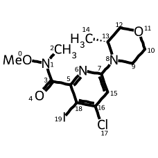 CON(C)C(=O)c1nc(N2CCOC[C@H]2C)cc(Cl)c1I